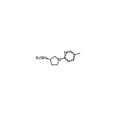 CC(=O)N[C@@H]1CCN(c2ccc(C)cn2)C1